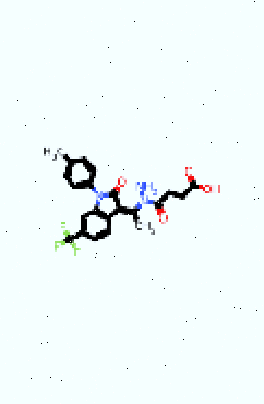 C/C(=C1/C(=O)N(c2ccc(C)cc2)c2cc(C(F)(F)F)ccc21)N(N)C(=O)CCC(=O)O